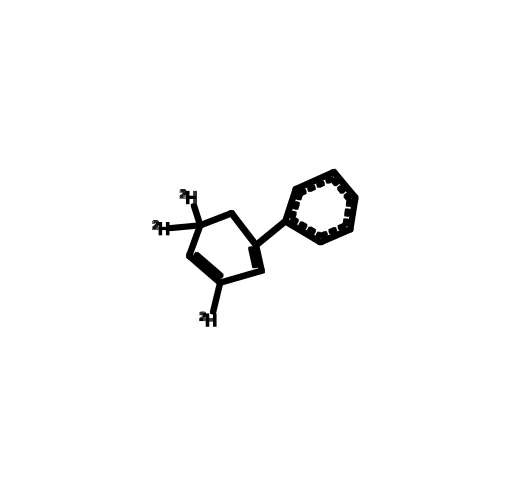 [2H]C1=CC([2H])([2H])CC(c2ccccc2)=C1